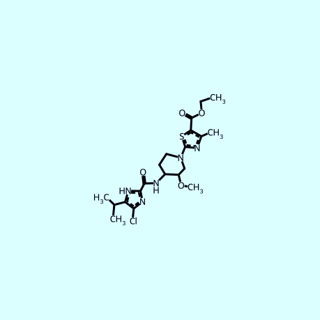 CCOC(=O)c1sc(N2CCC(NC(=O)c3nc(Cl)c(C(C)C)[nH]3)C(OC)C2)nc1C